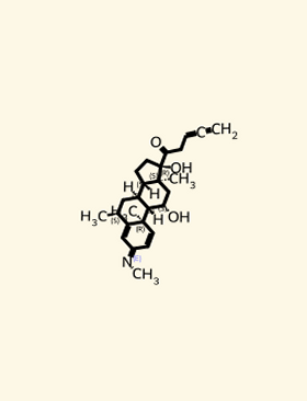 C=C=CCC(=O)[C@@]1(O)CC[C@H]2[C@@H]3C[C@H](C)C4=C/C(=N/C)C=C[C@]4(C)[C@H]3[C@@H](O)C[C@@]21C